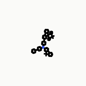 CC1(C)c2ccccc2-c2ccc(N(c3ccc(-c4ccccc4)cc3)c3ccc(-c4ccc5c(c4)C4(c6ccccc6-5)c5ccccc5C(C)(C)c5ccccc54)cc3)cc21